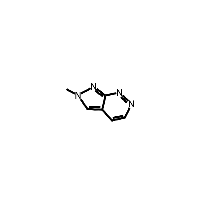 Cn1cc2ccnnc2n1